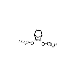 O=C(O)O[C@@H]1C2C=CC(C2)[C@@H]1OC(=O)O